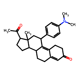 CC(=O)C1CCC2C3CCC4=CC(=O)CCC4=C3C(c3ccc(N(C)C)cc3)CC12C